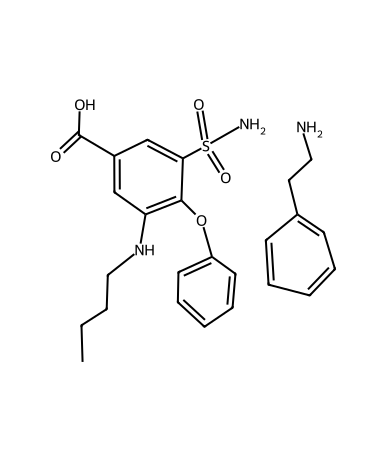 CCCCNc1cc(C(=O)O)cc(S(N)(=O)=O)c1Oc1ccccc1.NCCc1ccccc1